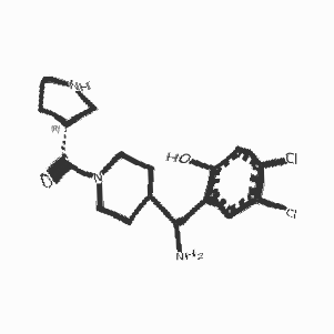 NC(c1cc(Cl)c(Cl)cc1O)C1CCN(C(=O)[C@@H]2CCNC2)CC1